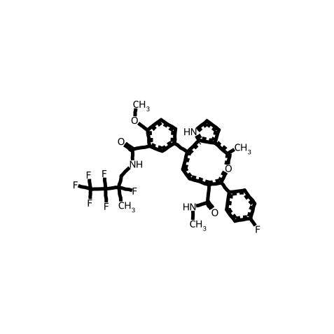 CNC(=O)c1ccc(-c2ccc(OC)c(C(=O)NCC(C)(F)C(F)(F)C(F)(F)F)c2)c2[nH]ccc2c(C)oc1-c1ccc(F)cc1